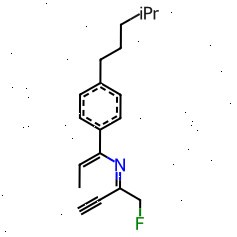 C#C/C(CF)=N\C(=CC)c1ccc(CCCC(C)C)cc1